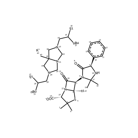 CC1(C)S[C@@H]2[C@H](N3C(=O)[C@@H](c4ccccc4)NC3(C)C)C(=O)N2[C@H]1C(=O)[O-].CCCCC(CC)CN1CN2CN(CC(CC)CCCC)CC2(C)C1.[K+]